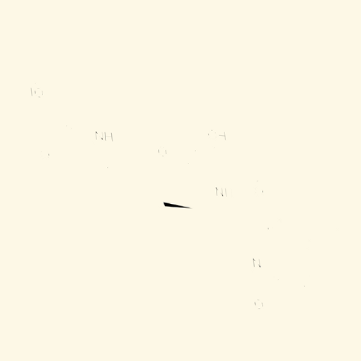 O=C(O)NCCC[C@H](CN1C(=O)c2ccccc2C1=O)NC(=O)O